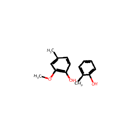 COc1cc(C)ccc1O.Cc1ccccc1O